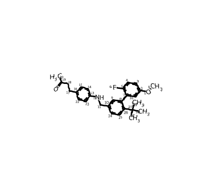 COc1ccc(F)c(-c2cc(CNc3ccc(CCC(C)=O)cc3)ccc2C(C)(C)C)c1